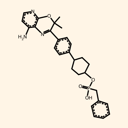 CC1(C)Oc2nccc(N)c2N=C1c1ccc(C2CCC(OP(=O)(O)Cc3ccccc3)CC2)cc1